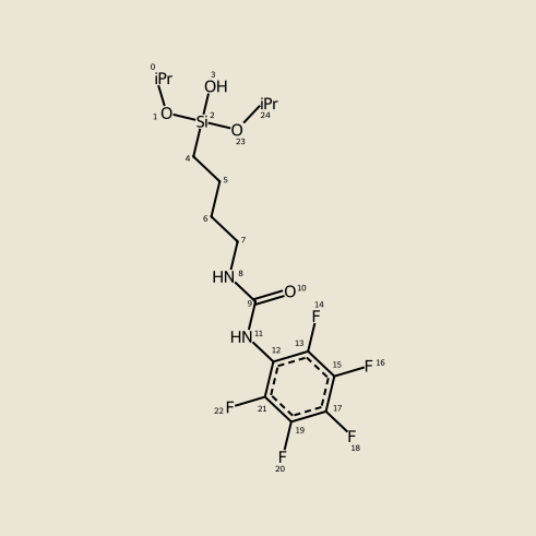 CC(C)O[Si](O)(CCCCNC(=O)Nc1c(F)c(F)c(F)c(F)c1F)OC(C)C